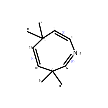 CC1(C)/C=C\N=C/C(C)(C)/C=C\1